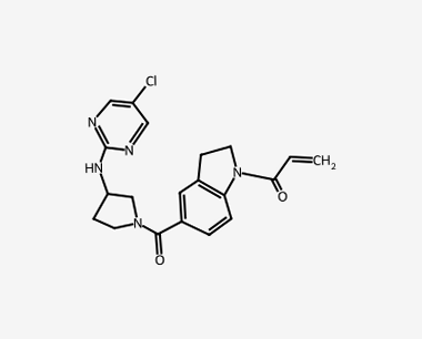 C=CC(=O)N1CCc2cc(C(=O)N3CCC(Nc4ncc(Cl)cn4)C3)ccc21